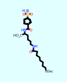 CCCCCCCCCCCCCCCCCC(=O)NCCCCC(NC(=O)c1ccc(S(N)(=O)=O)cc1)C(=O)O